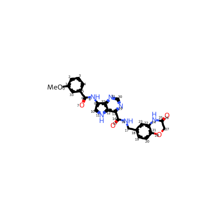 COc1cccc(C(=O)Nc2c[nH]c3c(C(=O)NCc4ccc5c(c4)NC(=O)CO5)ncnc23)c1